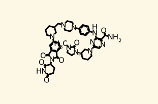 CN1CCN([C@@H]2CCCN(c3cnc(C(N)=O)c(Nc4ccc(N5CCN(CC6CCCN(c7ccc8c(c7)C(=O)N(C7CCC(=O)NC7=O)C8=O)C6)CC5)cc4)n3)C2)C1=O